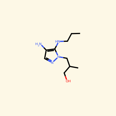 CCCNc1c(N)cnn1CC(C)CO